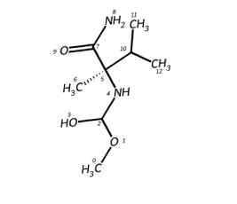 COC(O)N[C@@](C)(C(N)=O)C(C)C